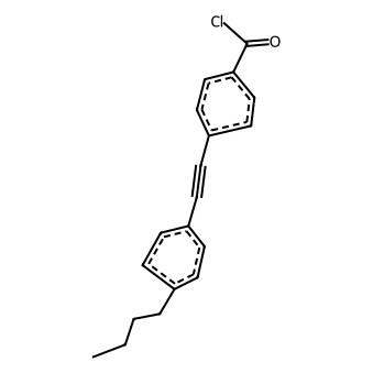 CCCCc1ccc(C#Cc2ccc(C(=O)Cl)cc2)cc1